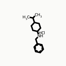 CC(C)C1CCC(NCc2ccccc2)CC1.Cl